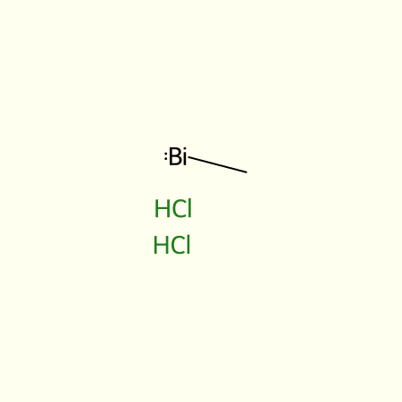 Cl.Cl.[CH3][Bi]